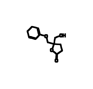 O=C1CCC(CO)(COC2=CCCC=C2)O1